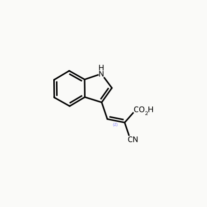 N#C/C(=C/c1c[nH]c2ccccc12)C(=O)O